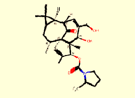 CC1=C[C@]23C(=O)[C@@H](C=C(CO)[C@@H](O)[C@]2(C)[C@H]1OC(=O)N1CCCC1C(F)(F)F)[C@H]1C(C[C@H]3C)C1(C)C